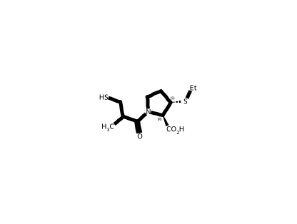 CCS[C@H]1CCN(C(=O)C(C)CS)[C@@H]1C(=O)O